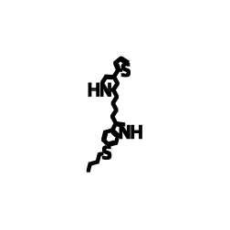 CCCCSc1ccc2c(CCCCC3CC(c4cccs4)=CCN3)c[nH]c2c1